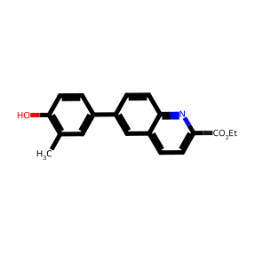 CCOC(=O)c1ccc2cc(-c3ccc(O)c(C)c3)ccc2n1